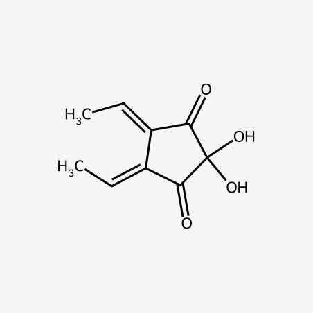 C/C=C1/C(=O)C(O)(O)C(=O)/C1=C/C